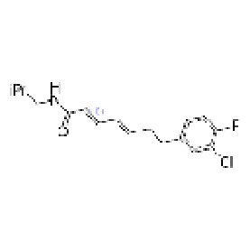 CC(C)CNC(=O)/C=C/C=CCCc1ccc(F)c(Cl)c1